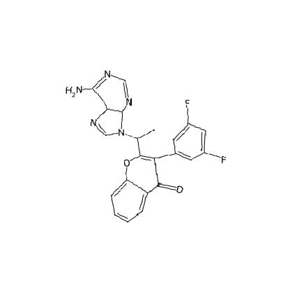 CC(c1oc2ccccc2c(=O)c1-c1cc(F)cc(F)c1)N1C=NC2C(N)=NC=NC21